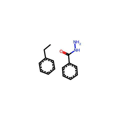 CCc1ccccc1.NNC(=O)c1ccccc1